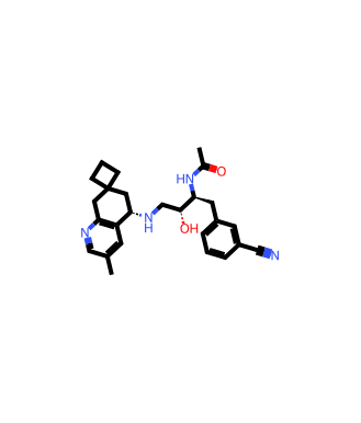 CC(=O)N[C@@H](Cc1cccc(C#N)c1)[C@H](O)CN[C@H]1CC2(CCC2)Cc2ncc(C)cc21